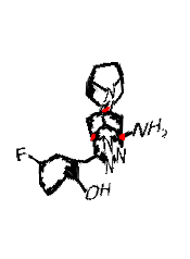 Nc1nnc(-c2cc(F)ccc2O)cc1N1CC2CCC(C1)N2c1ccncc1